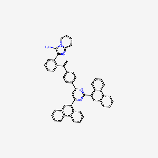 C=C(c1ccc(-c2cc(-c3cc4ccccc4c4ccccc34)nc(-c3cc4ccccc4c4ccccc34)n2)cc1)c1ccccc1-c1nc2ccccn2c1N